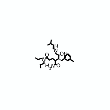 CCCN(CCC)C(=O)CCC(C(N)=O)[C@H](Cc1cccc(C)c1)[C@@H](O)CNCCC(C)C